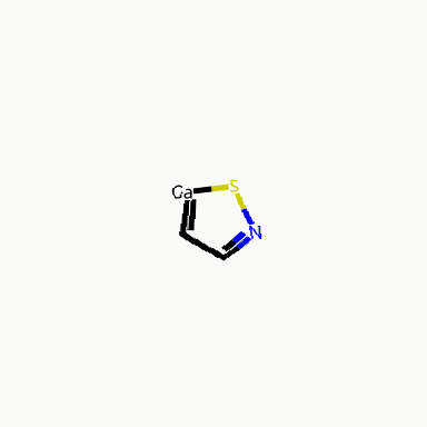 C1=N[S][Ga]=[CH]1